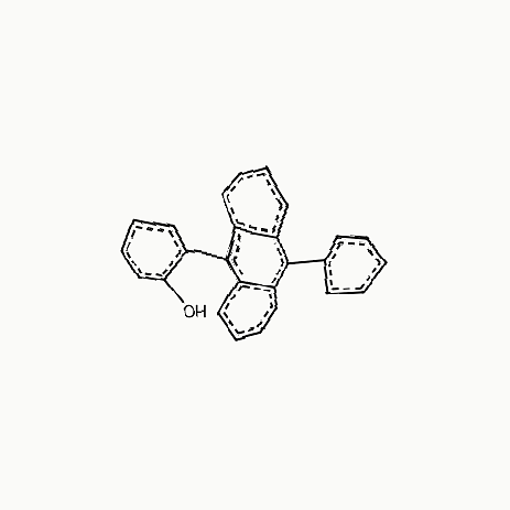 Oc1ccccc1-c1c2ccccc2c(-c2ccccc2)c2ccccc12